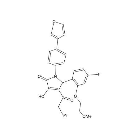 COCCOc1cc(F)ccc1C1C(C(=O)CC(C)C)=C(O)C(=O)N1c1ccc(-c2ccoc2)cc1